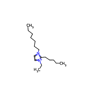 CCCCCCCn1cc[n+](CC)c1CCCCC